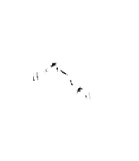 CC(C)OC(=S)SSCCSCCSSC(=S)OC(C)C